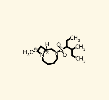 CCC(C)C(CC)S(=O)(=O)N1CCCCN2[C@H](C[C@H]2C)C1